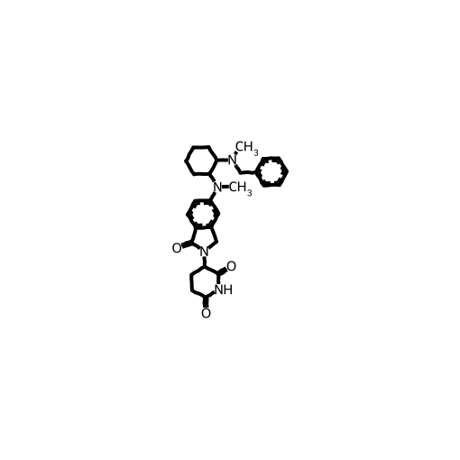 CN(Cc1ccccc1)C1CCCCC1N(C)c1ccc2c(c1)CN(C1CCC(=O)NC1=O)C2=O